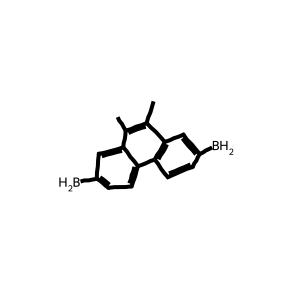 Bc1ccc2c(c1)c(C)c(C)c1cc(B)ccc12